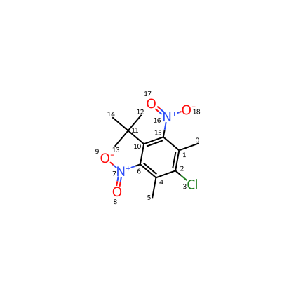 Cc1c(Cl)c(C)c([N+](=O)[O-])c(C(C)(C)C)c1[N+](=O)[O-]